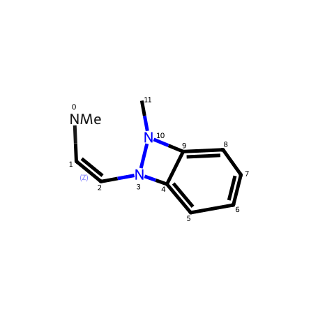 CN/C=C\n1c2ccccc2n1C